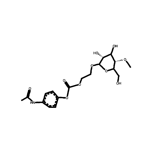 CO[C@@H]1C(CO)OC(OCCOC(=O)Oc2ccc(NC(C)=O)cc2)[C@H](O)C1O